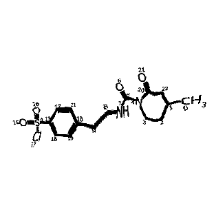 CC1CCN(C(=O)NCCc2ccc(S(=O)(=O)Cl)cc2)C(=O)C1